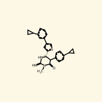 CN1C(=N)N[C@H](c2cc(-c3cccc(C4CC4)c3)cs2)C(c2ccc(C3CC3)cc2)C1=O